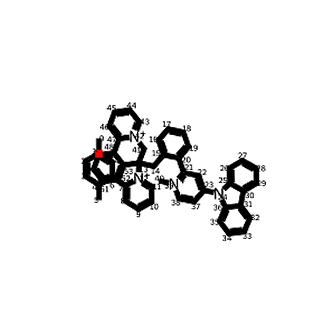 Cc1ccc(C)c(-c2cccc[n+]2C2(Cc3ccccc3-c3cc(-n4c5ccccc5c5ccccc54)cc[n+]3C)C[n+]3ccccc3-c3ccccc32)c1